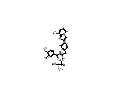 CC(C)Oc1ccc(C(=O)N[C@H](CNC(=O)[C@H](C)O)Cc2ccc(-c3cn4cccc(Br)c4n3)cc2)cc1Cl